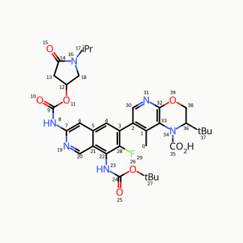 Cc1c(-c2cc3cc(NC(=O)OC4CC(=O)N(C(C)C)C4)ncc3c(NC(=O)OC(C)(C)C)c2F)cnc2c1N(C(=O)O)C(C(C)(C)C)CO2